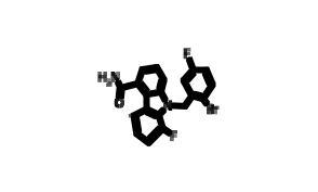 NC(=O)c1cccc2c1c1[c]ccc(F)c1n2Cc1cc(F)ccc1Br